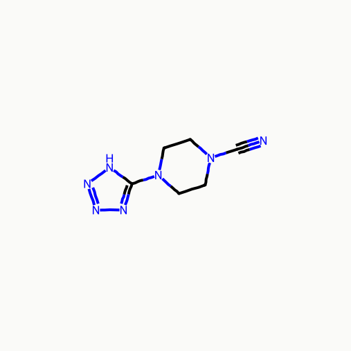 N#CN1CCN(c2nnn[nH]2)CC1